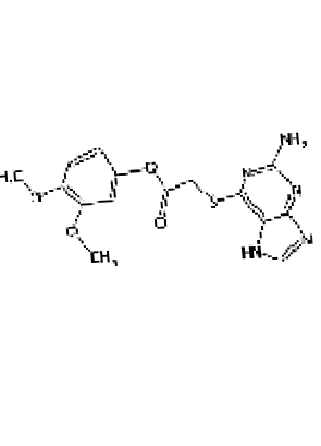 COc1ccc(OC(=O)CSc2nc(N)nc3nc[nH]c23)cc1OC